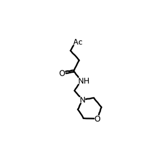 CC(=O)CCC(=O)NCN1CCOCC1